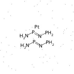 NP=NP.NP=NP.[Pt]